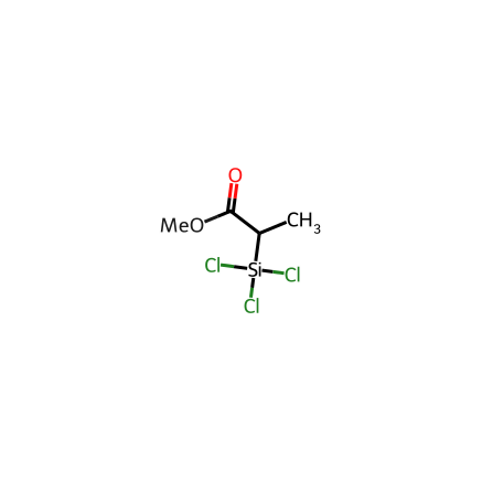 COC(=O)C(C)[Si](Cl)(Cl)Cl